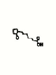 O=C(O)CCCCC=CC1C=CCC1=O